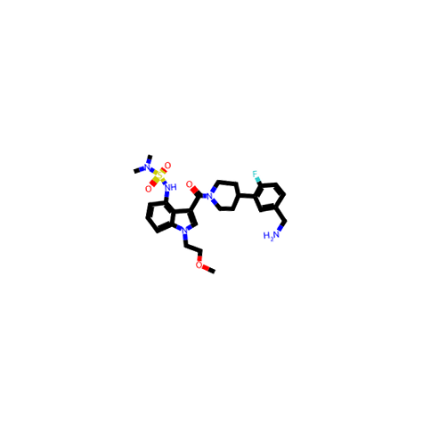 COCCn1cc(C(=O)N2CCC(c3cc(CN)ccc3F)CC2)c2c(NS(=O)(=O)N(C)C)cccc21